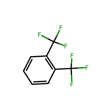 FC(F)(F)c1[c][c]ccc1C(F)(F)F